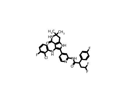 CC1(C)Cc2[nH]c(-c3ccnc(NC(=O)C(CC(F)F)c4ccc(F)cc4)c3)c(Nc3cccc(F)c3Cl)c2C(=O)N1